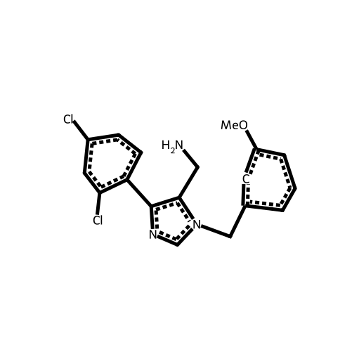 COc1cccc(Cn2cnc(-c3ccc(Cl)cc3Cl)c2CN)c1